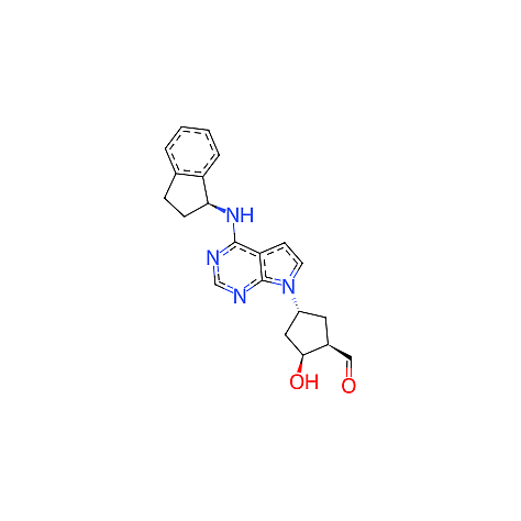 O=C[C@@H]1C[C@@H](n2ccc3c(N[C@H]4CCc5ccccc54)ncnc32)C[C@@H]1O